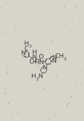 Cc1cc(C2NC(C(=O)Nc3cc4cn(C)nc4cc3N3CCC(N)CC3)=CO2)ccn1